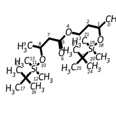 CC(CCOC(=O)CC(C)O[Si](C)(C)C(C)(C)C)O[Si](C)(C)C(C)(C)C